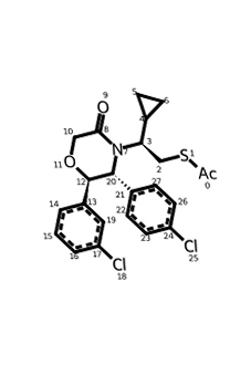 CC(=O)SC[C@H](C1CC1)N1C(=O)CO[C@H](c2cccc(Cl)c2)[C@H]1c1ccc(Cl)cc1